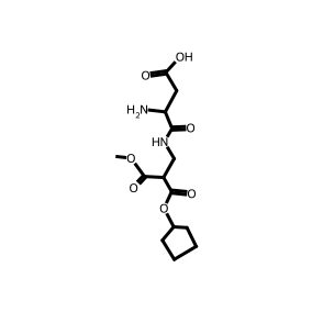 COC(=O)C(CNC(=O)C(N)CC(=O)O)C(=O)OC1CCCC1